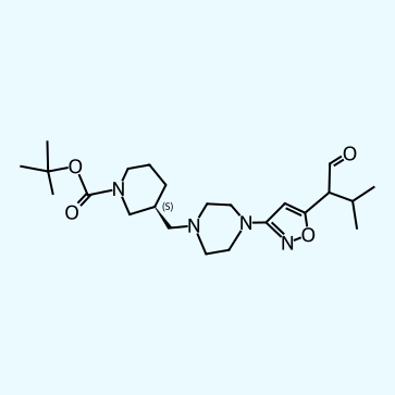 CC(C)C(C=O)c1cc(N2CCN(C[C@@H]3CCCN(C(=O)OC(C)(C)C)C3)CC2)no1